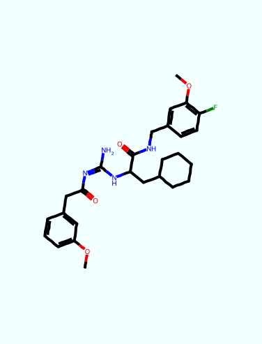 COc1cccc(CC(=O)N=C(N)NC(CC2CCCCC2)C(=O)NCc2ccc(F)c(OC)c2)c1